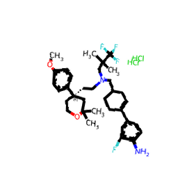 COc1ccc([C@]2(CCN(CC3CC=C(c4ccc(N)c(F)c4)CC3)CC(C)(C)C(F)(F)F)CCOC(C)(C)C2)cc1.Cl.Cl